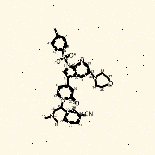 Cc1ccc(S(=O)(=O)n2cc(-c3ccn(C(CN(C)C)c4cccc(C#N)c4)c(=O)c3)c3cc(N4CCOCC4)cnc32)cc1